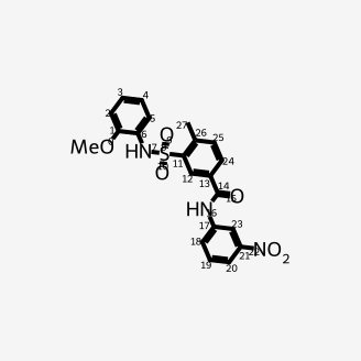 COc1ccccc1NS(=O)(=O)c1cc(C(=O)Nc2cccc([N+](=O)[O-])c2)ccc1C